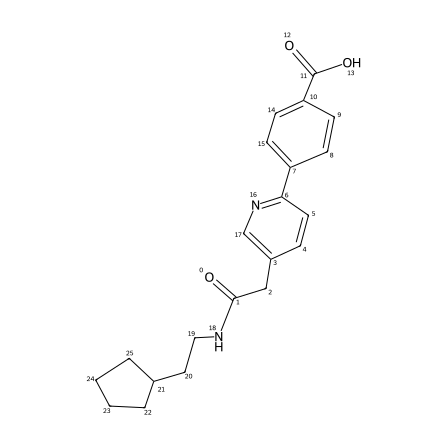 O=C(Cc1ccc(-c2ccc(C(=O)O)cc2)nc1)NCCC1CCCC1